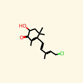 CC(C=CC1=C(C)C(=O)C(O)CC1(C)C)=CCCl